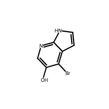 Oc1cnc2[nH]ccc2c1Br